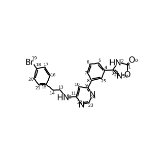 O=c1[nH]c(-c2cccc(-c3cc(NCCc4ccc(Br)cc4)ncn3)c2)no1